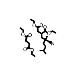 CCOC(=O)CC(CC(C)(C#N)CCC(C)C)C(=O)OCC.CCOC(=O)CCC(=O)OCC